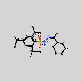 CC(=NNS(=O)(=O)c1c(C(C)C)cc(C(C)C)cc1C(C)C)C1CCCCC1